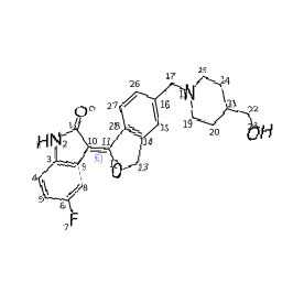 O=C1Nc2ccc(F)cc2/C1=C1\OCc2cc(CN3CCC(CO)CC3)ccc21